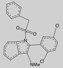 CNc1c(-c2cc(Cl)ccc2Cl)n(S(=O)(=O)Cc2ccccc2)c2ccccc12